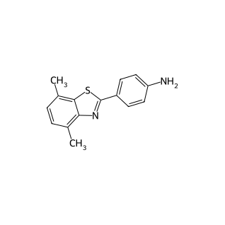 Cc1ccc(C)c2sc(-c3ccc(N)cc3)nc12